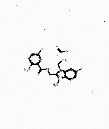 CCn1c(CNC(=O)c2nc(Br)cnc2N)[n+](C)c2ccc(F)cc21.O=C[O-]